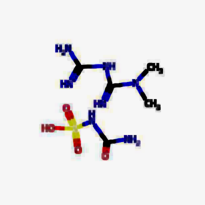 CN(C)C(=N)NC(=N)N.NC(=O)NS(=O)(=O)O